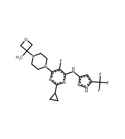 CC1(N2CCN(c3nc(C4CC4)nc(Nc4cc(C(F)(F)F)[nH]n4)c3F)CC2)COC1